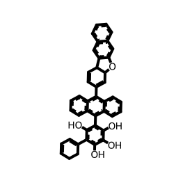 Oc1c(O)c(C2=CC=CCC2)c(O)c(-c2c3ccccc3c(C3=CC4Oc5cc6ccccc6cc5C4C=C3)c3ccccc23)c1O